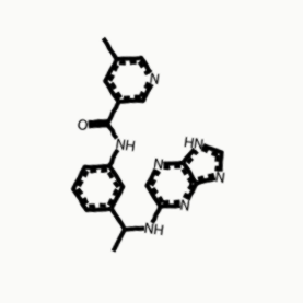 Cc1cncc(C(=O)Nc2cccc(C(C)Nc3cnc4[nH]cnc4n3)c2)c1